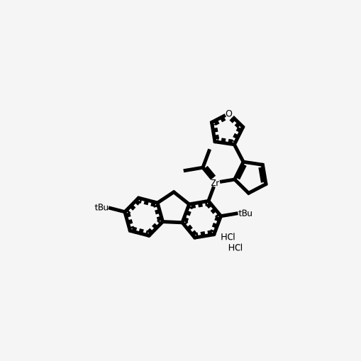 C[C](C)=[Zr]([C]1=C(c2ccoc2)C=CC1)[c]1c(C(C)(C)C)ccc2c1Cc1cc(C(C)(C)C)ccc1-2.Cl.Cl